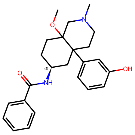 COC12CC[C@H](NC(=O)c3ccccc3)CC1(c1cccc(O)c1)CCN(C)C2